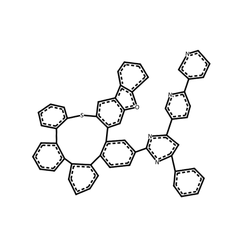 c1ccc(-c2cc(-c3ccc(-c4cccnc4)nc3)nc(-c3ccc4c(c3)-c3cc5oc6ccccc6c5cc3Sc3ccccc3-c3ccccc3-c3ccccc3-4)n2)cc1